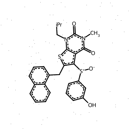 CC(C)Cn1c(=O)n(C)c(=O)c2c([S+]([O-])c3cccc(O)c3)c(Cc3cccc4ccccc34)sc21